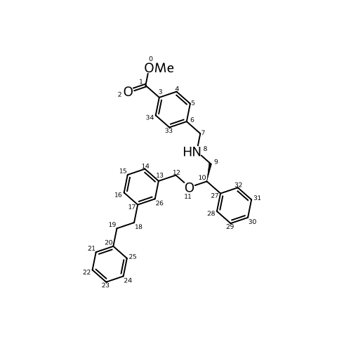 COC(=O)c1ccc(CNC[C@H](OCc2cccc(CCc3ccccc3)c2)c2ccccc2)cc1